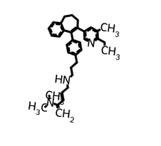 C=C(/C=C/CNCCCc1ccc(C2=C(c3cnc(CC)c(C)c3)CCCc3ccccc32)cc1)N(C)C